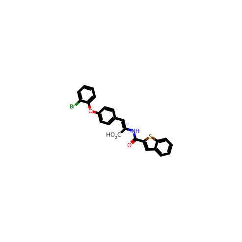 O=C(O)/C(=C\c1ccc(Oc2ccccc2Br)cc1)NC(=O)c1cc2ccccc2s1